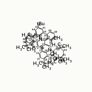 C=C1/C=C(/N2c3cc(C)cc4c3B(c3ccc5c(c32)C(C)(C)CCC5(C)C)c2sc3c(c2N4c2c(-c4ccccc4)cc(C(C)(C)C)cc2-c2ccccc2)C(C)(C)CCC3(C)C)CC(C)(C)CCC1(C)C